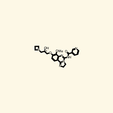 COc1c(OC[C@H](O)CN2CCC2)ccc2c1N=C(NC(=O)c1cccnc1)N1CCN=C21